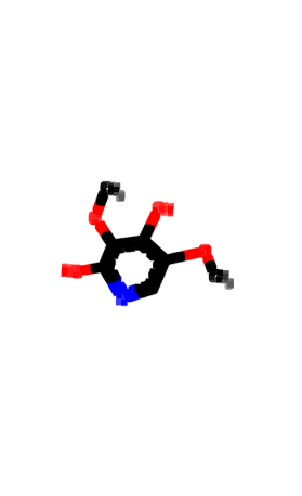 COc1cnc(O)c(OC)c1O